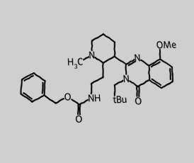 COc1cccc2c(=O)n(CC(C)(C)C)c(C3CCCN(C)C3CCNC(=O)OCc3ccccc3)nc12